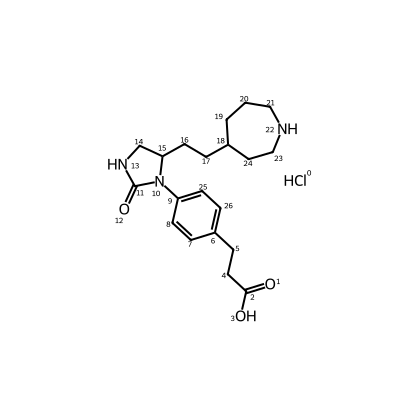 Cl.O=C(O)CCc1ccc(N2C(=O)NCC2CCC2CCCNCC2)cc1